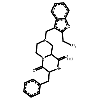 CCc1oc2ccccc2c1CN1CCN2C(=O)C(Cc3ccccc3)NC(=O)C2C1.Cl